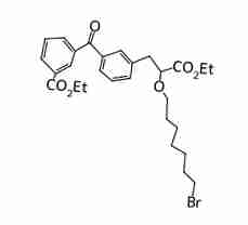 CCOC(=O)c1cccc(C(=O)c2cccc(CC(OCCCCCCCBr)C(=O)OCC)c2)c1